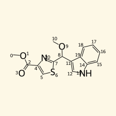 COC(=O)c1csc(C(OC)c2c[nH]c3ccccc23)n1